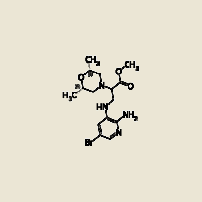 COC(=O)C(CNc1cc(Br)cnc1N)N1C[C@@H](C)O[C@@H](C)C1